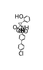 O=C(O)C1(NS(=O)(=O)c2ccc(-c3ccc(Cl)cc3)cc2)C[C@H]1c1ccccc1O